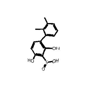 Cc1cccc(-c2ccc(O)c(S(=O)O)c2O)c1C